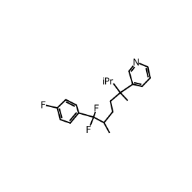 CC(CCC(C)(c1cccnc1)C(C)C)C(F)(F)c1ccc(F)cc1